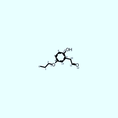 CCCOc1ccc(O)c(CC=O)c1